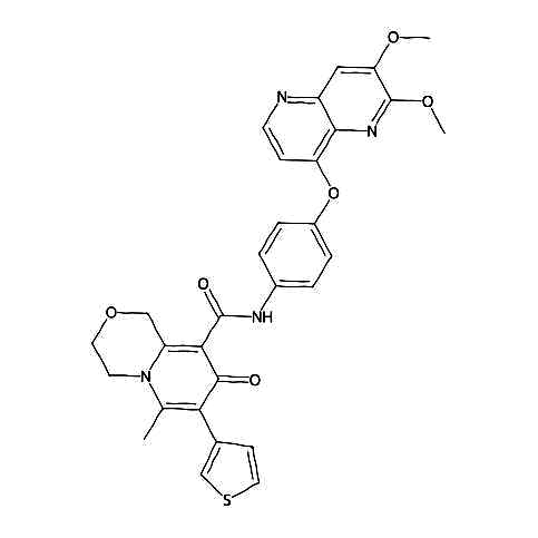 COc1cc2nccc(Oc3ccc(NC(=O)c4c5n(c(C)c(-c6ccsc6)c4=O)CCOC5)cc3)c2nc1OC